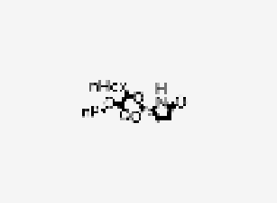 CCCCCCC(OC(=O)[C@@H]1CCC(=O)N1)C(=O)OCCC